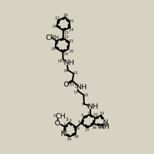 COc1cc(-c2cc(NCCCNC(=O)CCNCc3ccc(-c4ccccc4)c(Cl)c3)c3cn[nH]c3c2)ccn1